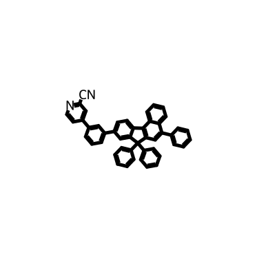 N#Cc1cc(-c2cccc(-c3ccc4c(c3)C(c3ccccc3)(c3ccccc3)c3cc(-c5ccccc5)c5ccccc5c3-4)c2)ccn1